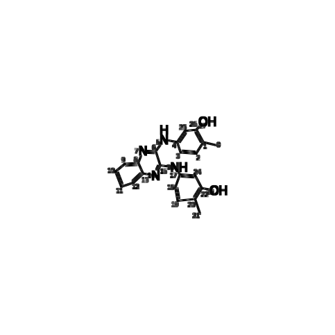 Cc1ccc(Nc2nc3ccccc3nc2Nc2ccc(C)c(O)c2)cc1O